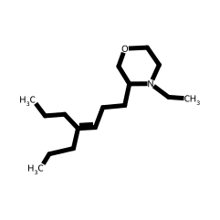 CCCC(=CCCC1COCCN1CC)CCC